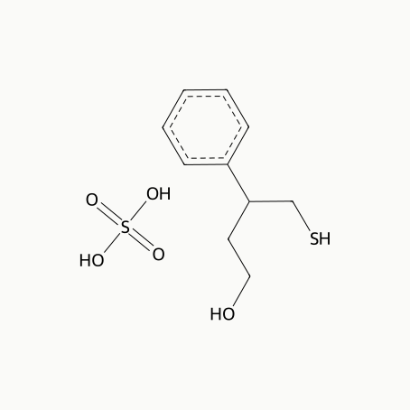 O=S(=O)(O)O.OCCC(CS)c1ccccc1